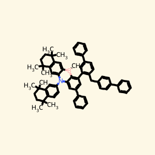 CB1c2cc3c(cc2N(c2ccc4c(c2)C(C)(C)CCC4(C)C)c2cc(-c4ccccc4)cc(-c4cc(-c5ccccc5)ccc4Cc4ccc(-c5ccccc5)cc4)c21)C(C)(C)CCC3(C)C